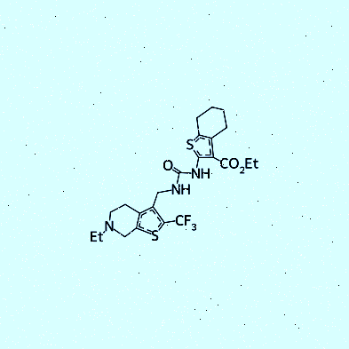 CCOC(=O)c1c(NC(=O)NCc2c(C(F)(F)F)sc3c2CCN(CC)C3)sc2c1CCCC2